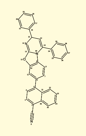 N#Cc1ccc(-c2ccc3c(c2)OC2=NC(c4ccccc4)C=C(c4ccccc4)N23)c2ccccc12